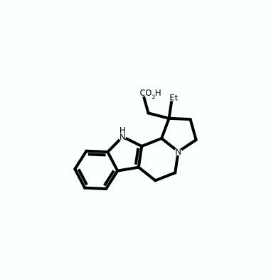 CCC1(CC(=O)O)CCN2CCc3c([nH]c4ccccc34)C21